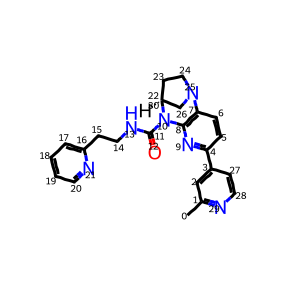 Cc1cc(-c2ccc3c(n2)N(C(=O)NCCc2ccccn2)[C@H]2CCN3C2)ccn1